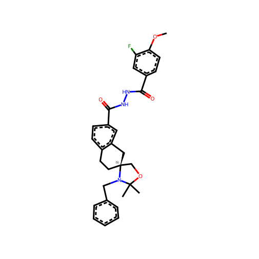 COc1ccc(C(=O)NNC(=O)c2ccc3c(c2)C[C@@]2(CC3)COC(C)(C)N2Cc2ccccc2)cc1F